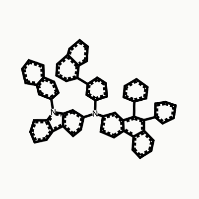 c1ccc(-c2c(-c3ccccc3)c3cc(N(c4cccc(-c5cccc6ccccc56)c4)c4ccc5c6ccccc6n(-c6ccc7ccccc7c6)c5c4)ccc3c3ccccc23)cc1